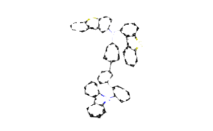 c1cc(-c2ccc(N(c3ccc4sc5ccccc5c4c3)c3cccc4sc5ccccc5c34)cc2)cc(-c2ccccc2-n2c3ccccc3c3ccccc32)c1